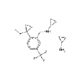 CCC1(c2ccc(C(F)(F)F)cc2CNC2CC2)CC1.NC1CC1